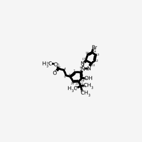 COC(=O)CCc1cc(-n2nc3ccc(Br)cc3n2)c(O)c(C(C)(C)C)c1